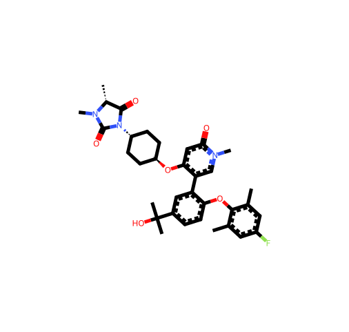 Cc1cc(F)cc(C)c1Oc1ccc(C(C)(C)O)cc1-c1cn(C)c(=O)cc1O[C@H]1CC[C@H](N2C(=O)[C@@H](C)N(C)C2=O)CC1